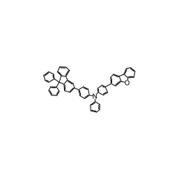 c1ccc(N(c2ccc(-c3ccc4c(c3)-c3ccccc3C4(c3ccccc3)c3ccccc3)cc2)c2ccc(-c3ccc4c(c3)oc3ccccc34)cc2)cc1